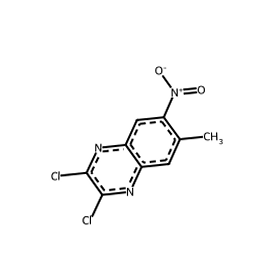 Cc1cc2nc(Cl)c(Cl)nc2cc1[N+](=O)[O-]